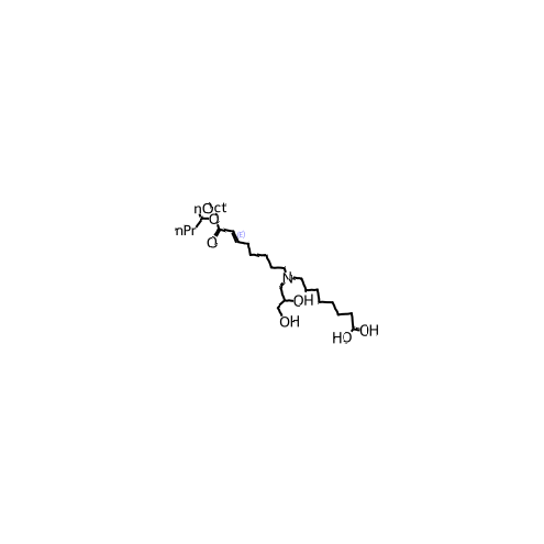 CCCCCCCCC(CCC)OC(=O)/C=C/CCCCCN(CCCCCCCC(O)O)CC(O)CO